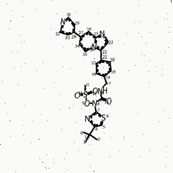 CC(C)(C)c1csc(N(OS(C)(=O)=O)C(=O)NCc2ccc(-c3cnc4cc(-c5ccncc5)ccn34)cc2)n1